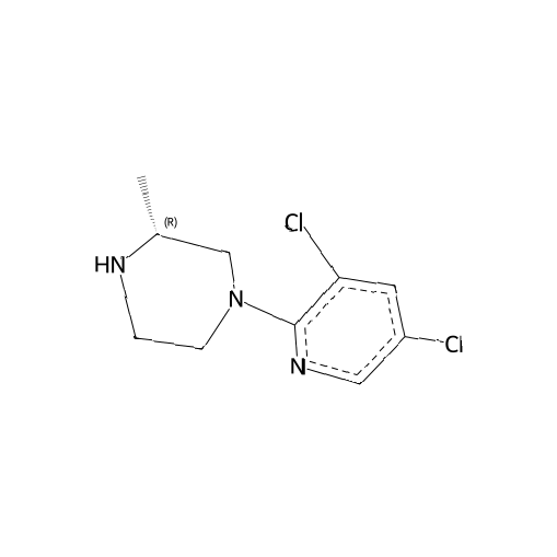 C[C@@H]1CN(c2ncc(Cl)cc2Cl)CCN1